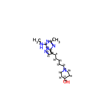 CNc1nc(C)nc2c(CCCCCN3CCC(O)CC3)cnn12